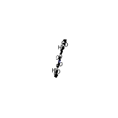 CC(C)(C)OC(=O)NCCCCOC(=O)/C=C/C(=O)OCNC(=O)OC(C)(C)C